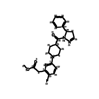 COC(=O)Cc1nc(N2CCC(C(=O)N3N=CCC3c3ccccc3)CC2)ncc1F